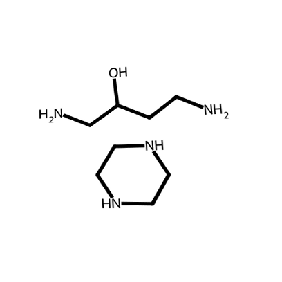 C1CNCCN1.NCCC(O)CN